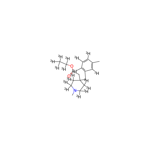 [2H]c1c([2H])c(C)c([2H])c(CC2(CC(=O)OC([2H])([2H])C([2H])([2H])[2H])C([2H])([2H])C([2H])([2H])N(C)C([2H])([2H])C2([2H])[2H])c1[2H]